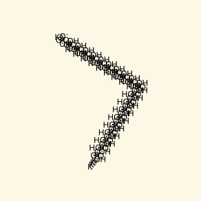 O=P(O)(O)O.O=P(O)(O)O.O=P(O)(O)O.O=P(O)(O)O.O=P(O)(O)O.O=P(O)(O)O.O=P(O)(O)O.O=P(O)(O)O.O=P(O)(O)O.O=P(O)(O)O.O=P(O)(O)O.O=P(O)(O)O.O=P(O)(O)O.O=P(O)(O)O.O=P(O)(O)O.O=P(O)(O)O.O=P(O)(O)O.O=P([O-])(O)O.O=P([O-])([O-])O.O=P([O-])([O-])O.[K+].[K+].[K+].[K+].[K+]